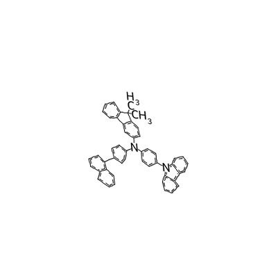 CC1(C)c2ccccc2-c2cc(N(c3ccc(-c4cccc5ccccc45)cc3)c3ccc(-n4c5ccccc5c5ccccc54)cc3)ccc21